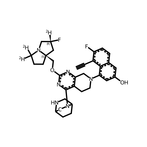 [2H]C1([2H])CC[C@@]2(COc3nc4c(c(N5CC6CCC5CN6)n3)CCN(c3cc(O)cc5ccc(F)c(C#C)c35)C4)C[C@@]([2H])(F)CN12